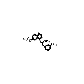 COc1ccc2cccc(CC(N)Cc3cccc(C)c3)c2c1